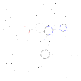 CCOC(=O)C1CCc2nc(-n3ccnc3)nc(NCc3ccccc3)c2C1